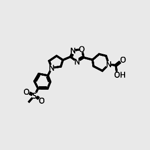 CS(=O)(=O)c1ccc(N2CCC(c3noc(C4CCN(C(=O)O)CC4)n3)C2)cc1